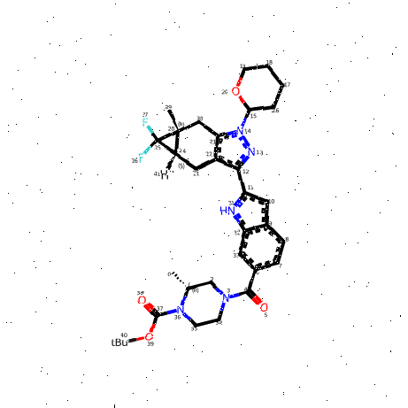 C[C@@H]1CN(C(=O)c2ccc3cc(-c4nn(C5CCCCO5)c5c4C[C@@H]4C(F)(F)[C@]4(C)C5)[nH]c3c2)CCN1C(=O)OC(C)(C)C